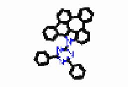 c1ccc(-c2nc(-c3ccccc3)nc(-n3c4cccc5c4c4c6c(cccc6c6ccccc6c43)-c3ccccc3-5)n2)cc1